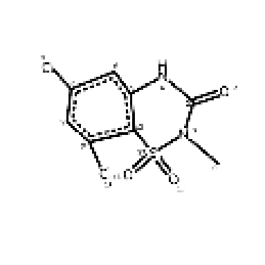 CN1C(=O)Nc2cc(Cl)cc(Cl)c2S1(=O)=O